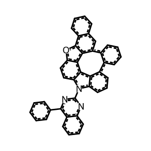 c1ccc(-c2nc(-n3c4cccc5c6ccccc6c6cc7ccccc7c7oc8ccc3c(c8c67)c54)nc3ccccc23)cc1